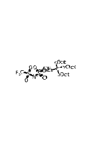 CCCCCCCC[P+](CCCCCCCC)(CCCCCCCC)CCCCCCCC.O=S(=O)([N-]S(=O)(=O)C(F)(F)F)C(F)(F)F